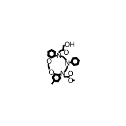 COC(=O)CN1CCN(c2ccccc2)CCN(CC(=O)CO)c2ccccc2OCCOc2cc(C)ccc21